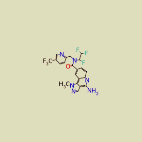 Cn1ncc2c(N)nc3ccc(C(=O)N(Cc4ccc(C(F)(F)F)cn4)C(F)C(F)F)cc3c21